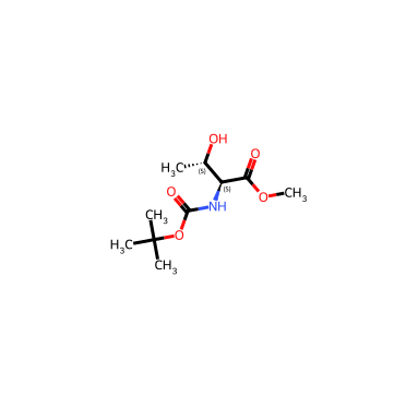 COC(=O)[C@@H](NC(=O)OC(C)(C)C)[C@H](C)O